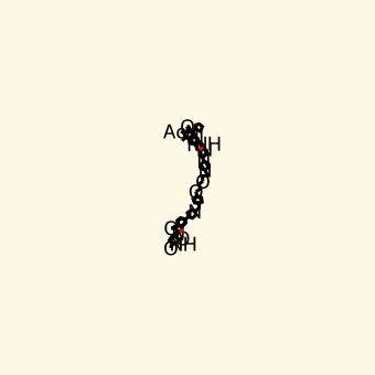 CC(=O)c1c(C)c2cnc(Nc3ccc(N4CCN(CCOCCOc5ccc(CN6CCC(c7ccc8c(c7)CN(C7CCC(=O)NC7=O)C8=O)CC6)cc5)CC4)cn3)nc2n(C2CCCC2)c1=O